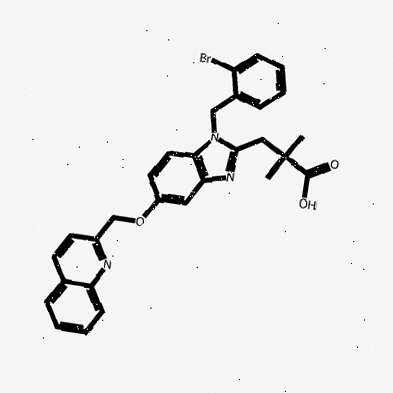 CC(C)(Cc1nc2cc(OCc3ccc4ccccc4n3)ccc2n1Cc1ccccc1Br)C(=O)O